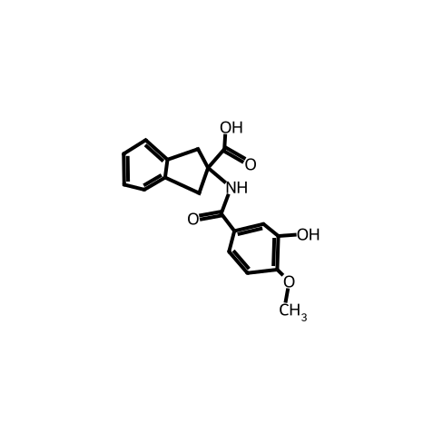 COc1ccc(C(=O)NC2(C(=O)O)Cc3ccccc3C2)cc1O